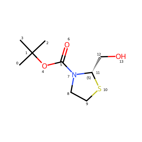 CC(C)(C)OC(=O)N1CCS[C@H]1CO